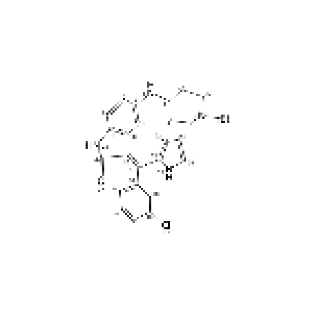 CCN1CCC(Nc2ccc3c(c2)C(=C(c2cccc(Cl)c2)c2ncc[nH]2)C(=O)N3)CC1